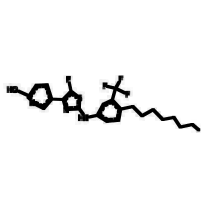 CCCCCCCCc1ccc(Nc2nc(-c3ccc(O)nc3)c(F)s2)cc1C(F)(F)F